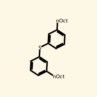 CCCCCCCCc1cc[c]c(Sc2[c]ccc(CCCCCCCC)c2)c1